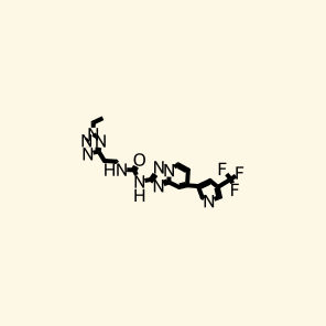 CCn1nnc(CCNC(=O)Nc2nc3cc(-c4cncc(C(F)(F)F)c4)ccn3n2)n1